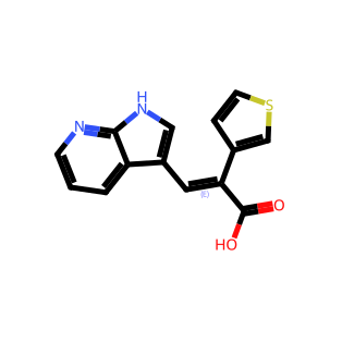 O=C(O)/C(=C/c1c[nH]c2ncccc12)c1ccsc1